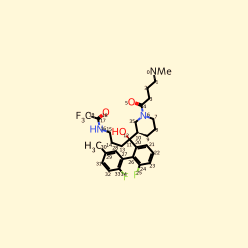 CNCCCC(=O)N1CCC[C@@H]([C@@](O)(CCCNC(=O)C(F)(F)F)c2cccc(F)c2-c2cc(C)ccc2F)C1